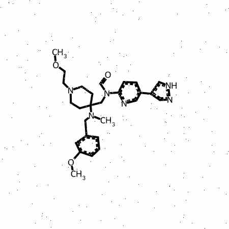 COCCN1CCC(CN(C=O)c2ccc(-c3cn[nH]c3)cn2)(N(C)Cc2cccc(OC)c2)CC1